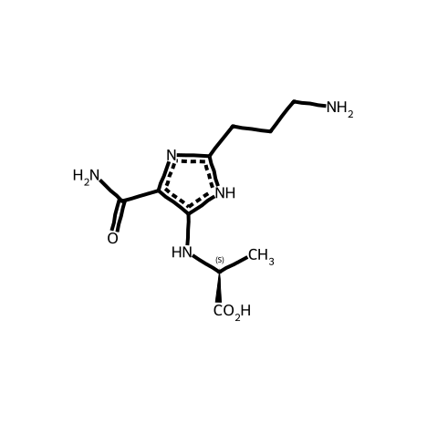 C[C@H](Nc1[nH]c(CCCN)nc1C(N)=O)C(=O)O